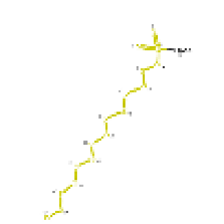 COS(=S)(=S)SSSSSSSSSSSSSS